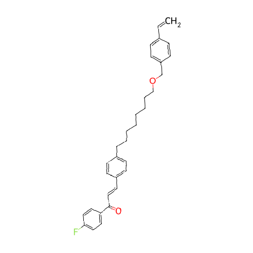 C=Cc1ccc(COCCCCCCCCc2ccc(C=CC(=O)c3ccc(F)cc3)cc2)cc1